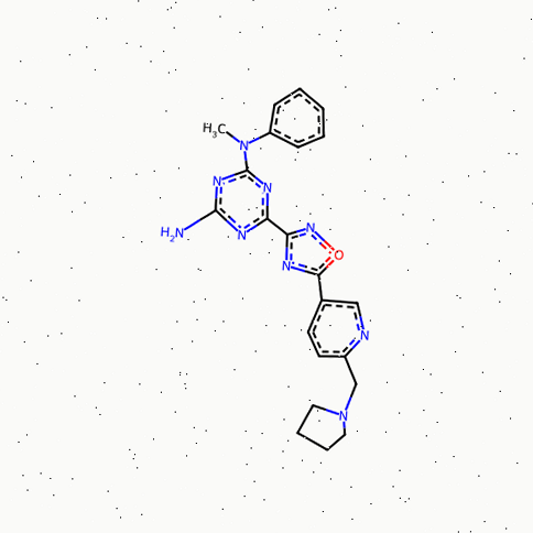 CN(c1ccccc1)c1nc(N)nc(-c2noc(-c3ccc(CN4CCCC4)nc3)n2)n1